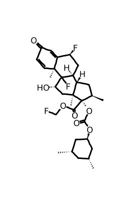 C[C@@H]1C[C@H](C)C[C@@H](OC(=O)O[C@@]2(C(=O)OCF)[C@H](C)C[C@H]3[C@@H]4C[C@H](F)C5=CC(=O)C=C[C@]5(C)C4(F)[C@@H](O)C[C@@]32C)C1